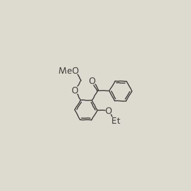 CCOc1cccc(OCOC)c1C(=O)c1ccccc1